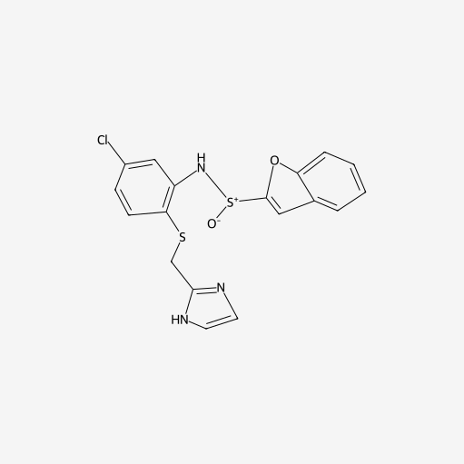 [O-][S+](Nc1cc(Cl)ccc1SCc1ncc[nH]1)c1cc2ccccc2o1